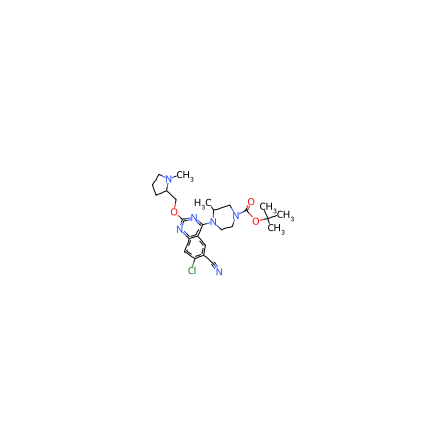 CC1CN(C(=O)OC(C)(C)C)CCN1c1nc(OCC2CCCN2C)nc2cc(Cl)c(C#N)cc12